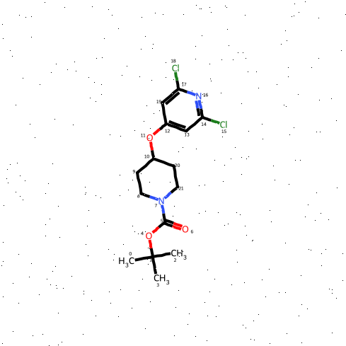 CC(C)(C)OC(=O)N1CCC(Oc2cc(Cl)nc(Cl)c2)CC1